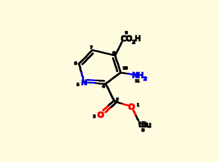 CC(C)(C)OC(=O)c1nccc(C(=O)O)c1N